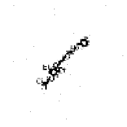 CCc1cc(OCC=C(Cl)Cl)cc(CC)c1OCCCCOCC=NOCc1ccccc1